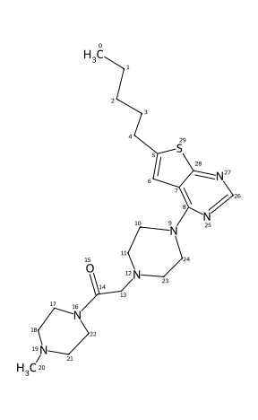 CCCCCc1cc2c(N3CCN(CC(=O)N4CCN(C)CC4)CC3)ncnc2s1